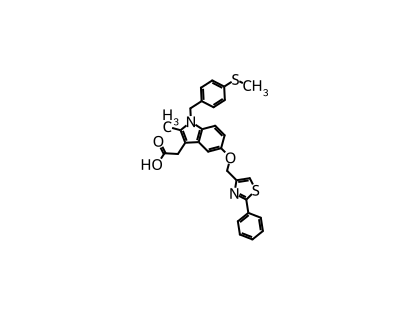 CSc1ccc(Cn2c(C)c(CC(=O)O)c3cc(OCc4csc(-c5ccccc5)n4)ccc32)cc1